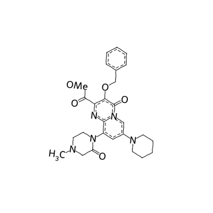 COC(=O)c1nc2c(N3CCN(C)CC3=O)cc(N3CCCCC3)cn2c(=O)c1OCc1ccccc1